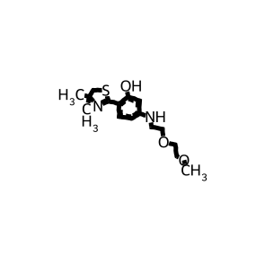 COCCOCCNc1ccc(C2=NC(C)(C)CS2)c(O)c1